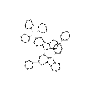 c1ccc(-c2ccc(-n3c4ccccc4c4cc(-c5ccccc5)cc(-n5c6ccccc6c6cc([Si](c7ccccc7)(c7ccccc7)c7ccccc7)ccc65)c43)cc2)cc1